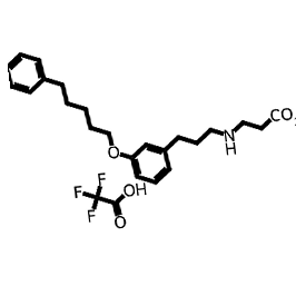 O=C(O)C(F)(F)F.O=C(O)CCNCCCc1cccc(OCCCCCc2ccccc2)c1